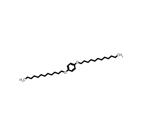 CCCCCCCCCCCCOc1[c]cc(OCCCCCCCCCCCC)[c]c1